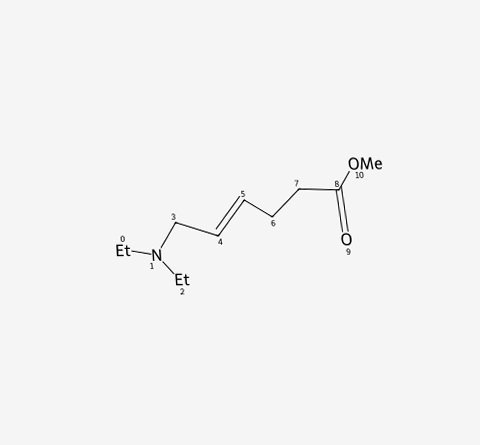 CCN(CC)CC=CCCC(=O)OC